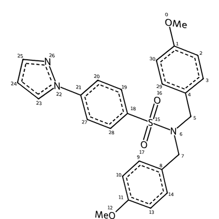 COc1ccc(CN(Cc2ccc(OC)cc2)S(=O)(=O)c2ccc(-n3cccn3)cc2)cc1